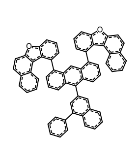 c1ccc(-c2cc(-c3c4cccc(-c5cccc6oc7ccc8ccccc8c7c56)c4cc4c(-c5cccc6oc7ccc8ccccc8c7c56)cccc34)cc3ccccc23)cc1